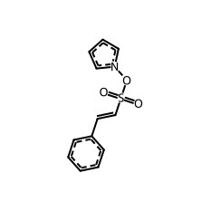 O=S(=O)(C=Cc1ccccc1)On1cccc1